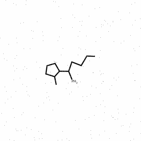 CCCCC(P)C1CCCC1C